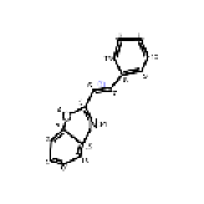 [c]1ccc2oc(/C=C/c3ccccc3)nc2c1